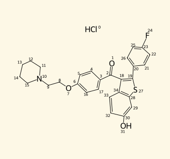 Cl.O=C(c1ccc(OCCN2CCCCC2)cc1)c1c(-c2ccc(F)cc2)sc2cc(O)ccc12